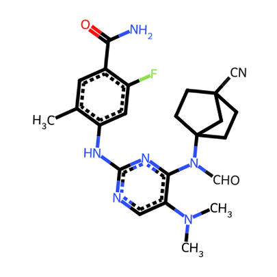 Cc1cc(C(N)=O)c(F)cc1Nc1ncc(N(C)C)c(N(C=O)C23CCC(C#N)(CC2)C3)n1